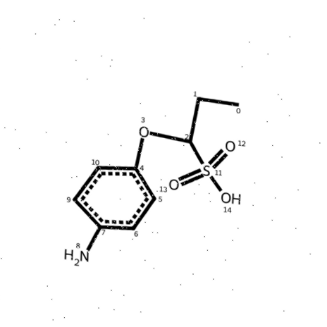 CCC(Oc1ccc(N)cc1)S(=O)(=O)O